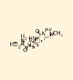 CN1CCN(C(=O)[C@@H]2CSC3(CN(C(=O)[C@@H](N)CO)C3)N2)CC1